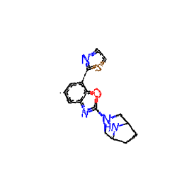 [c]1cc(-c2nccs2)c2oc(N3CC4CCC(C3)N4)nc2c1